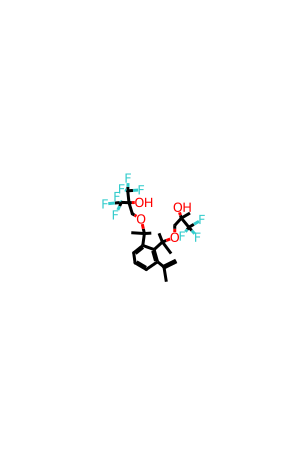 C=C(C)c1cccc(C(C)(C)OCC(O)(C(F)(F)F)C(F)(F)F)c1C(C)(C)OCC(C)(O)C(F)(F)F